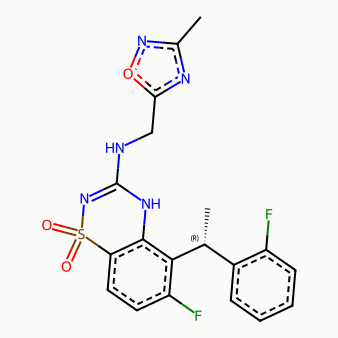 Cc1noc(CNC2=NS(=O)(=O)c3ccc(F)c([C@H](C)c4ccccc4F)c3N2)n1